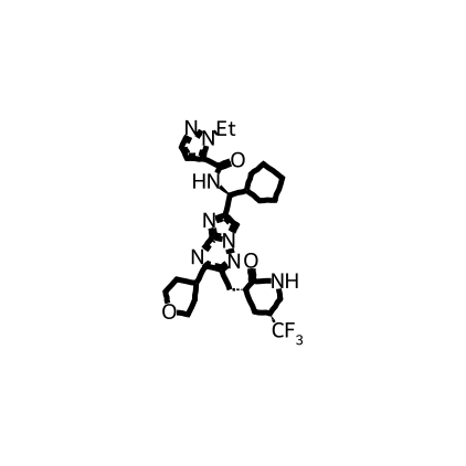 CCn1nccc1C(=O)N[C@H](c1cn2nc(C[C@H]3C[C@@H](C(F)(F)F)CNC3=O)c(C3CCOCC3)nc2n1)C1CCCCC1